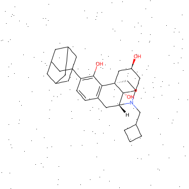 Oc1c(C23CC4CC(CC(C4)C2)C3)ccc2c1[C@]13CCN(CC4CCC4)[C@H](C2)[C@]1(O)CC[C@H](O)C3